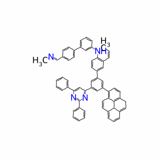 C/C=C\c1cc(-c2cc(-c3cc(-c4ccccc4)nc(-c4ccccc4)n3)cc(-c3ccc4c5c3C=CC3=CC=CC(=CC4)C35)c2)ccc1Nc1cccc(-c2ccc(/C=N/C)cc2)c1